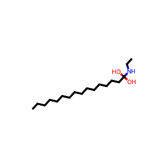 CCCCCCCCCCCCCCCC(O)(O)NCC